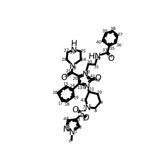 Cn1cc(S(=O)(=O)N2CCCC(n3c(-c4ccccc4)c(C(=O)N4CCNCC4)n(CCNC(=O)c4ccccc4)c3=O)C2)cn1